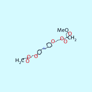 C=CC(=O)OCCOc1ccc(/C=C/c2ccc(OCCCOC(=O)C(=C)CC(=O)OC)cc2)cc1